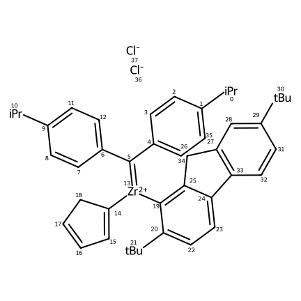 CC(C)c1ccc([C](c2ccc(C(C)C)cc2)=[Zr+2]([C]2=CC=CC2)[c]2c(C(C)(C)C)ccc3c2Cc2cc(C(C)(C)C)ccc2-3)cc1.[Cl-].[Cl-]